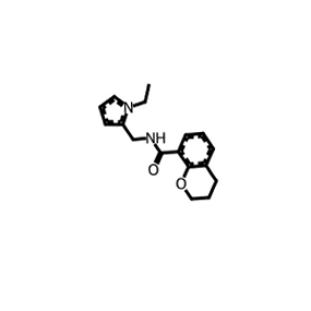 CCn1cccc1CNC(=O)c1cccc2c1OCCC2